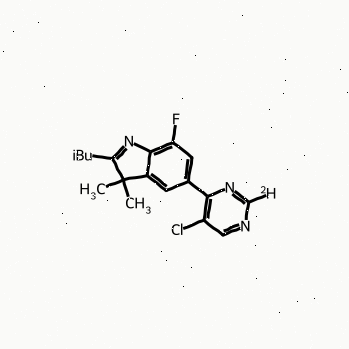 [2H]c1ncc(Cl)c(-c2cc(F)c3c(c2)C(C)(C)C(C(C)CC)=N3)n1